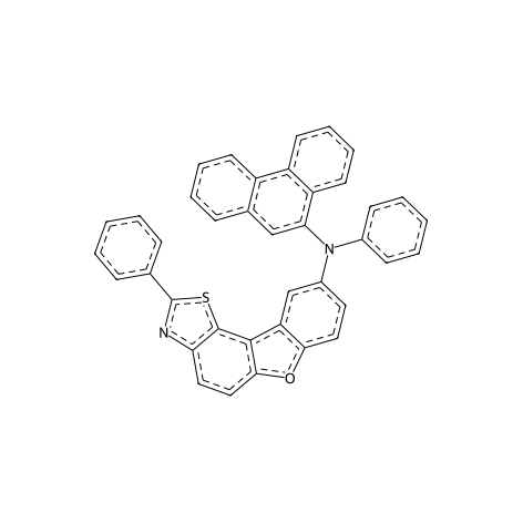 c1ccc(-c2nc3ccc4oc5ccc(N(c6ccccc6)c6cc7ccccc7c7ccccc67)cc5c4c3s2)cc1